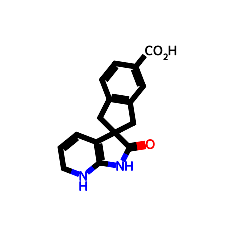 O=C(O)c1ccc2c(c1)CC1(C2)C(=O)NC2=C1C=CCN2